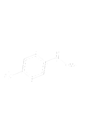 CONc1ccc(C(F)(F)F)cc1